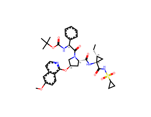 CC[C@@H]1C[C@]1(NC(=O)[C@@H]1C[C@@H](Oc2nccc3cc(OC)ccc23)CN1C(=O)[C@@H](NC(=O)OC(C)(C)C)c1ccccc1)C(=O)NS(=O)(=O)C1CC1